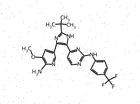 COc1cc(-c2nc(C(C)(C)C)[nH]c2-c2ccnc(Nc3ccc(C(F)(F)F)cc3)n2)cnc1N